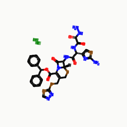 Cl.Cl.NNC(=O)C(=O)NC(C(=O)NC1C(=O)N2C(C(=O)OC(c3ccccc3)c3ccccc3)=C(CSc3nncs3)CS[C@@H]12)c1csc(N)n1